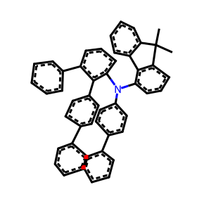 CC1(C)c2ccccc2-c2c(N(c3ccc(-c4ccccc4)cc3)c3cccc(-c4ccccc4)c3-c3ccc(-c4ccccc4)cc3)cccc21